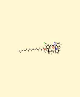 CCCCCCCCCCCCCCOc1ccc(CC(=O)NC2(C[n+]3ccccc3)C=CC=CC2)cc1C(C)(C)C.[Br-]